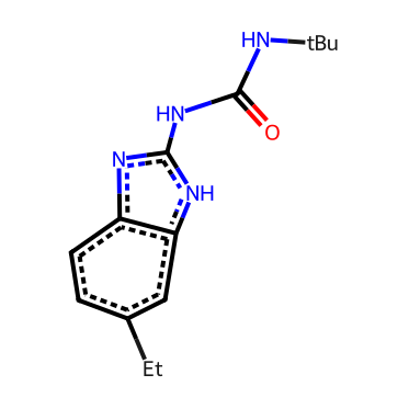 CCc1ccc2nc(NC(=O)NC(C)(C)C)[nH]c2c1